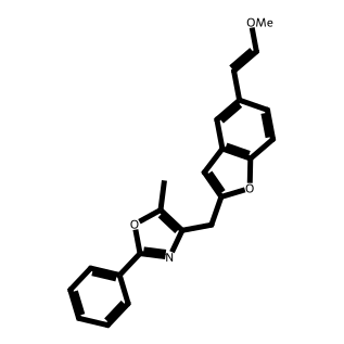 COC=Cc1ccc2oc(Cc3nc(-c4ccccc4)oc3C)cc2c1